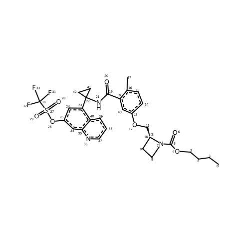 CCCCOC(=O)N1CC[C@H]1COc1ccc(C)c(C(=O)NC2(c3cc(OS(=O)(=O)C(F)(F)F)cc4ncccc34)CC2)c1